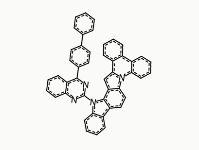 c1ccc(-c2ccc(-c3nc(-n4c5ccccc5c5ccc6c(cc7c8ccccc8c8ccccc8n76)c54)nc4ccccc34)cc2)cc1